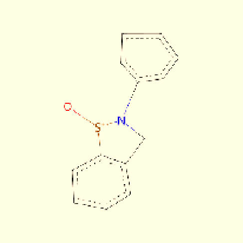 [O-][S+]1c2ccccc2CN1c1ccccc1